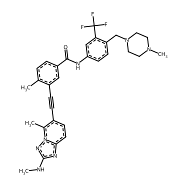 CNc1nc2ccc(C#Cc3cc(C(=O)Nc4ccc(CN5CCN(C)CC5)c(C(F)(F)F)c4)ccc3C)c(C)n2n1